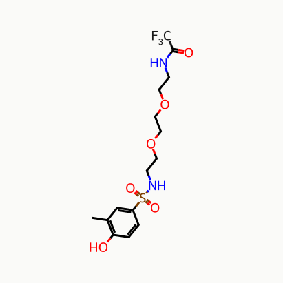 Cc1cc(S(=O)(=O)NCCOCCOCCNC(=O)C(F)(F)F)ccc1O